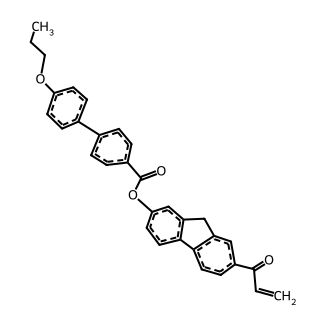 C=CC(=O)c1ccc2c(c1)Cc1cc(OC(=O)c3ccc(-c4ccc(OCCC)cc4)cc3)ccc1-2